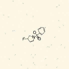 O=S(=O)(c1cc[c]cc1)N1CCC(F)C1